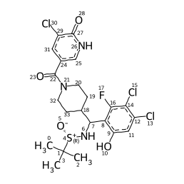 CC(C)(C)[S@+]([O-])NC(c1c(O)cc(Cl)c(Cl)c1F)C1CCN(C(=O)c2c[nH]c(=O)c(Cl)c2)CC1